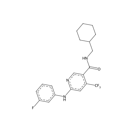 O=C(NCC1CCCCC1)c1cnc(Nc2cccc(F)c2)cc1C(F)(F)F